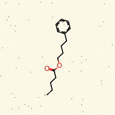 [CH2]CCCC(=O)OCCCCc1ccccc1